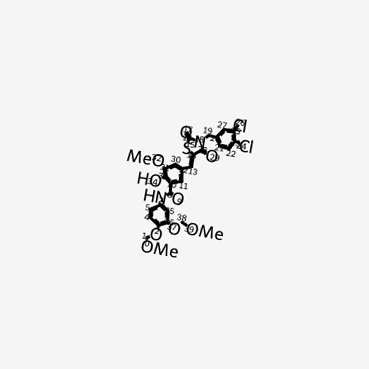 COCOc1ccc(NC(=O)c2cc(/C=C3\SC(=O)N(Cc4ccc(Cl)c(Cl)c4)C3=O)cc(OC)c2O)cc1OCOC